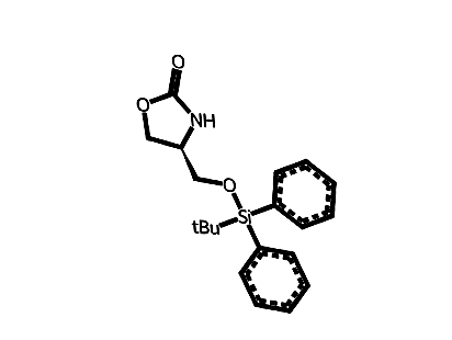 CC(C)(C)[Si](OC[C@H]1COC(=O)N1)(c1ccccc1)c1ccccc1